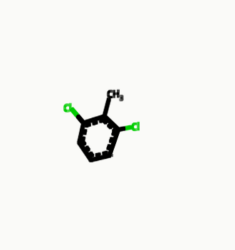 Cc1c(Cl)[c]ccc1Cl